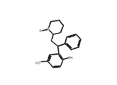 CCN1CCCCC1CC(c1ccccc1)c1cc(C)ccc1O